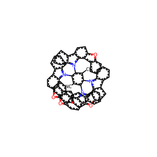 N#Cc1c(-n2c3ccccc3c3ccc4oc5ccccc5c4c32)c(-n2c3ccccc3c3ccc4oc5ccccc5c4c32)c(C#N)c(-n2c3ccccc3c3ccc4oc5ccccc5c4c32)c1-n1c2ccccc2c2ccc3oc4ccccc4c3c21